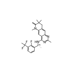 C=C1N(C)c2cc3c(N[C@H](C)c4cccc(C(C)(F)F)c4F)nc(C)nc3cc2CC1(C)C